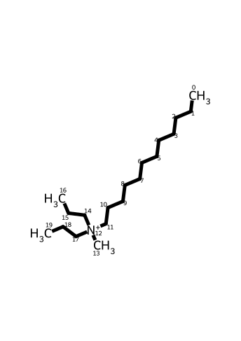 CCCCCCCCCCCC[N+](C)(CCC)CCC